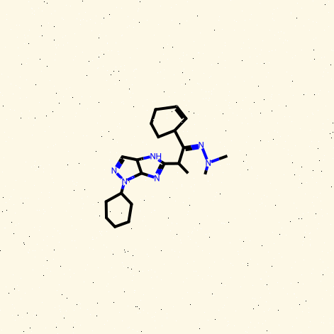 CC(C1=NC2C(C=NN2C2CCCCC2)N1)/C(=N\N(C)C)C1C=CCCC1